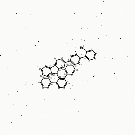 Brc1ccccc1-c1ccc(-c2ccc3c4ccccc4n(-c4c(-c5ccccc5)cccc4-c4ccccc4)c3c2)cc1